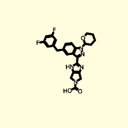 O=C(O)N1Cc2nc(-c3nn(C4CCCCO4)c4ccc(Cc5cc(F)cc(F)c5)cc34)[nH]c2C1